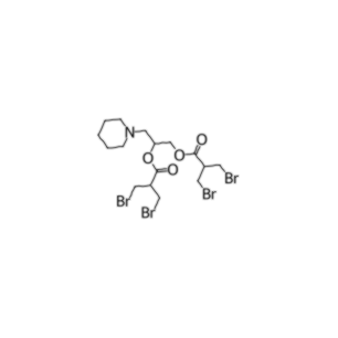 O=C(OCC(CN1CCCCC1)OC(=O)C(CBr)CBr)C(CBr)CBr